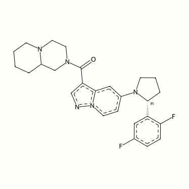 O=C(c1cnn2ccc(N3CCC[C@@H]3c3cc(F)ccc3F)cc12)N1CCN2CCCCC2C1